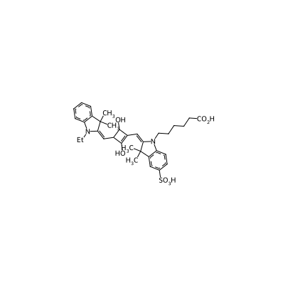 CCN1/C(=C/C2C(O)=C(/C=C3/N(CCCCCC(=O)O)c4ccc(S(=O)(=O)O)cc4C3(C)C)C2O)C(C)(C)c2ccccc21